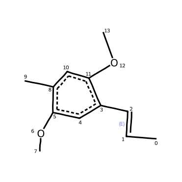 C/C=C/c1cc(OC)c(C)cc1OC